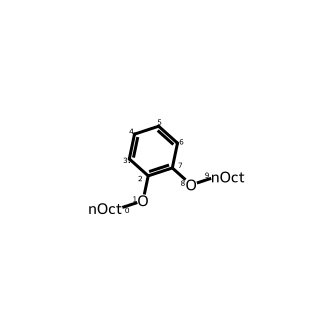 CCCCCCCCOc1[c]cccc1OCCCCCCCC